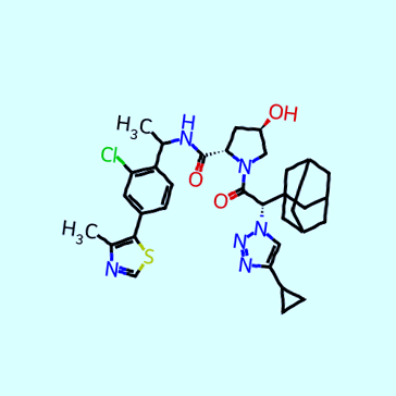 Cc1ncsc1-c1ccc(C(C)NC(=O)[C@@H]2C[C@@H](O)CN2C(=O)[C@@H](n2cc(C3CC3)nn2)C23CC4CC(CC(C4)C2)C3)c(Cl)c1